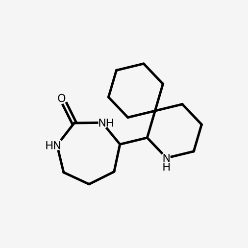 O=C1NCCCC(C2NCCCC23CCCCC3)N1